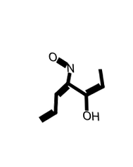 C=C/C=C(N=O)\C(O)=C/C